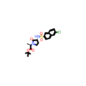 C[C@H](C(=O)OC(C)(C)C)N1CC[C@@H](NS(=O)(=O)c2ccc3cc(Cl)ccc3c2)C1=O